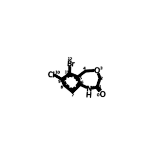 O=C1COCc2c(ccc(Cl)c2Br)N1